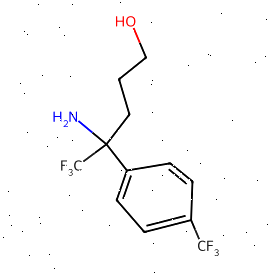 NC(CCCO)(c1ccc(C(F)(F)F)cc1)C(F)(F)F